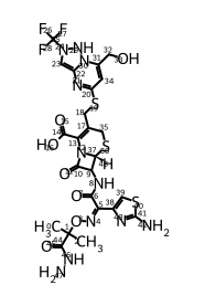 CC(C)(O/N=C(\C(=O)NC1C(=O)N2C(C(=O)O)=C(CSC3=NC4=CN(C(F)(F)F)NN4C(CO)=C3)CS[C@H]12)c1csc(N)n1)C(=O)NN